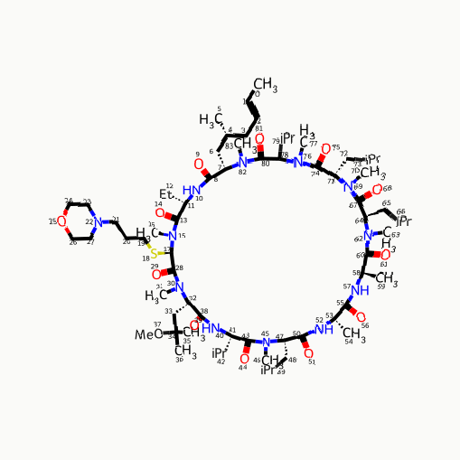 C/C=C/C[C@@H](C)C[C@H]1C(=O)N[C@@H](CC)C(=O)N(C)[C@H](SCCCN2CCOCC2)C(=O)N(C)[C@@H](CC(C)(C)OC)C(=O)N[C@@H](C(C)C)C(=O)N(C)[C@@H](CC(C)C)C(=O)N[C@@H](C)C(=O)N[C@H](C)C(=O)N(C)[C@H](CC(C)C)C(=O)N(C)[C@@H](CC(C)C)C(=O)N(C)C(C(C)C)C(=O)N1C